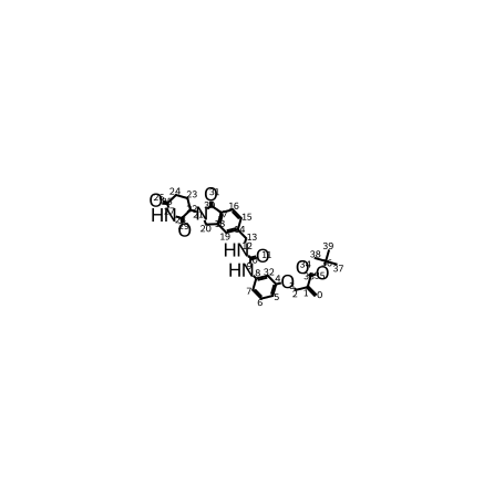 C=C(COc1cccc(NC(=O)NCc2ccc3c(c2)CN(C2CCC(=O)NC2=O)C3=O)c1)C(=O)OC(C)(C)C